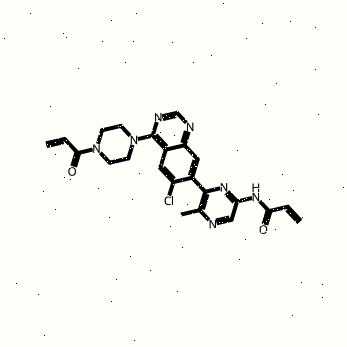 C=CC(=O)Nc1cnc(C)c(-c2cc3ncnc(N4CCN(C(=O)C=C)CC4)c3cc2Cl)n1